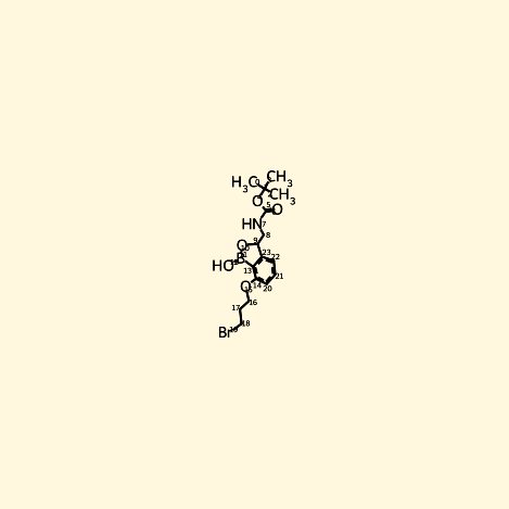 CC(C)(C)OC(=O)NCC1OB(O)c2c(OCCCBr)cccc21